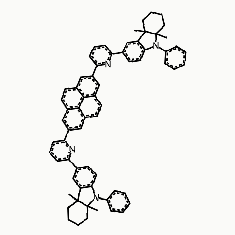 CC12CCCCC1(C)N(c1ccccc1)c1ccc(-c3cccc(-c4cc5ccc6cc(-c7cccc(-c8ccc9c(c8)C8(C)CCCCC8(C)N9c8ccccc8)n7)cc7ccc(c4)c5c67)n3)cc12